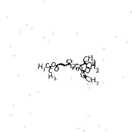 COC(=O)N[C@@H](COC(=O)/C=C/C(=O)OC(C)C)C(C)C